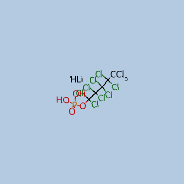 O=P(O)(O)OC(Cl)(Cl)C(Cl)(Cl)C(Cl)(Cl)C(Cl)(Cl)C(Cl)(Cl)Cl.[LiH]